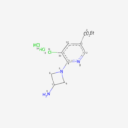 CCOC(=O)c1cnc(N2CC(N)C2)c(Cl)c1.Cl.Cl